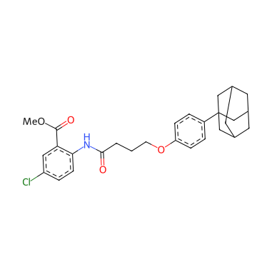 COC(=O)c1cc(Cl)ccc1NC(=O)CCCOc1ccc(C23CC4CC(CC(C4)C2)C3)cc1